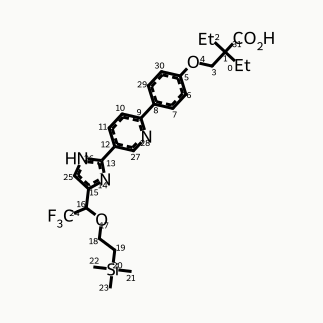 CCC(CC)(COc1ccc(-c2ccc(-c3nc(C(OCC[Si](C)(C)C)C(F)(F)F)c[nH]3)cn2)cc1)C(=O)O